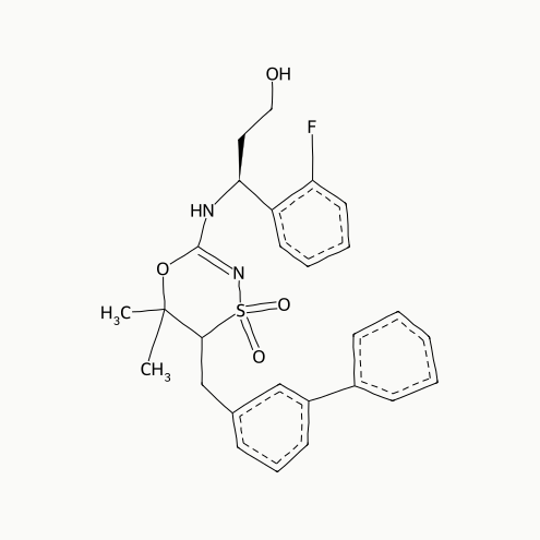 CC1(C)OC(N[C@@H](CCO)c2ccccc2F)=NS(=O)(=O)C1Cc1cccc(-c2ccccc2)c1